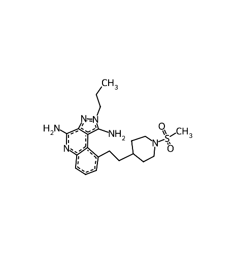 CCCn1nc2c(N)nc3cccc(CCC4CCN(S(C)(=O)=O)CC4)c3c2c1N